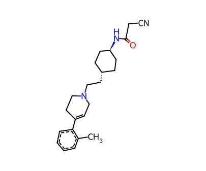 Cc1ccccc1C1=CCN(CC[C@H]2CC[C@H](NC(=O)CC#N)CC2)CC1